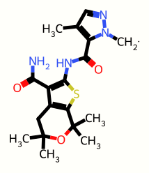 [CH2]n1ncc(C)c1C(=O)Nc1sc2c(c1C(N)=O)CC(C)(C)OC2(C)C